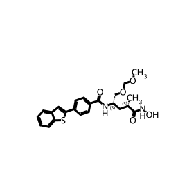 COCOC[C@H](C[C@H](C)C(=O)NO)NC(=O)c1ccc(-c2cc3ccccc3s2)cc1